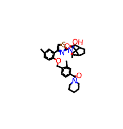 CCC1(C(=O)O)C2CCC1CN(c1nc(-c3cc(C)ccc3OCc3ccc(C(=O)N4CCCCC4)cc3C)cs1)C2